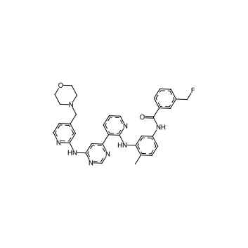 Cc1ccc(NC(=O)c2cccc(CF)c2)cc1Nc1ncccc1-c1cc(Nc2cc(CN3CCOCC3)ccn2)ncn1